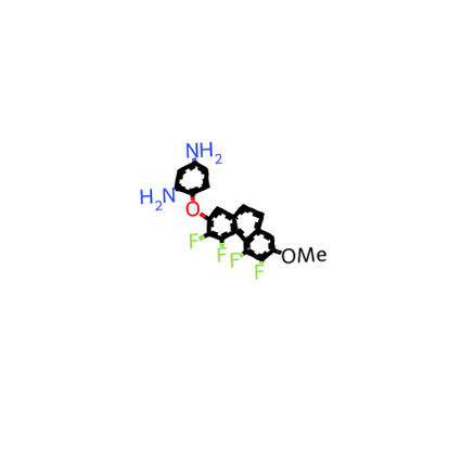 COc1cc2ccc3cc(Oc4ccc(N)cc4N)c(F)c(F)c3c2c(F)c1F